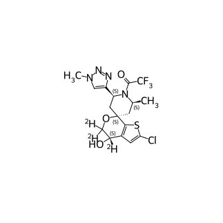 [2H]C1([2H])O[C@]2(C[C@H](C)N(C(=O)C(F)(F)F)[C@H](c3cn(C)nn3)C2)c2sc(Cl)cc2[C@]1([2H])O